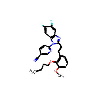 CCCCOc1c(/C=C/c2nc3cc(F)c(F)cc3n2-c2ccc(C#N)cn2)cccc1OC